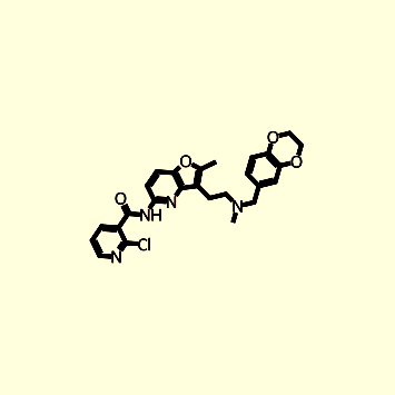 Cc1oc2ccc(NC(=O)c3cccnc3Cl)nc2c1CCN(C)Cc1ccc2c(c1)OCCO2